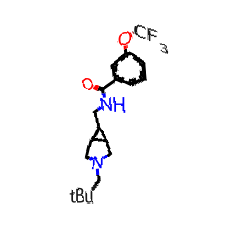 CC(C)(C)CN1CC2C(CNC(=O)c3cccc(OC(F)(F)F)c3)C2C1